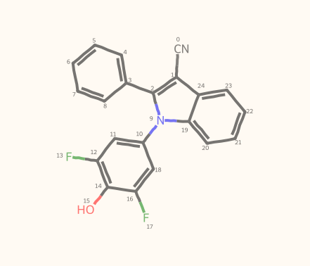 N#Cc1c(-c2ccccc2)n(-c2cc(F)c(O)c(F)c2)c2ccccc12